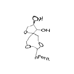 CCCCCC1OCC2(CO1)OC[C@@H](O)C2O